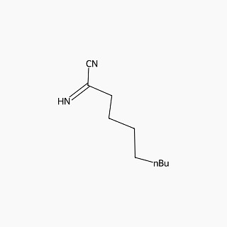 CCCCCCCCC(=N)C#N